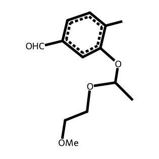 COCCOC(C)Oc1cc(C=O)ccc1C